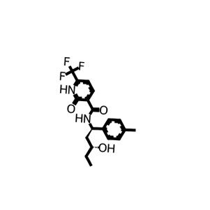 CC[C@@H](O)C[C@@H](NC(=O)c1ccc(C(F)(F)F)[nH]c1=O)c1ccc(C)cc1